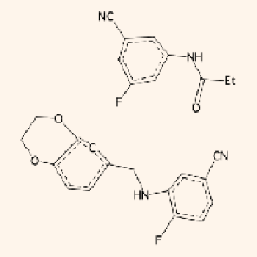 CCC(=O)Nc1cc(F)cc(C#N)c1.N#Cc1ccc(F)c(NCc2ccc3c(c2)OCCO3)c1